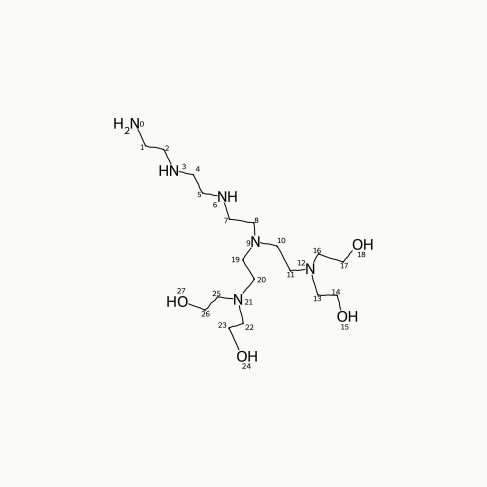 NCCNCCNCCN(CCN(CCO)CCO)CCN(CCO)CCO